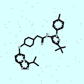 Cc1ccc(-n2nc(C(C)(C)C)cc2NC(=O)CC2CCC(Oc3ccc4nnc(C(C)C)n4c3)CC2)cc1